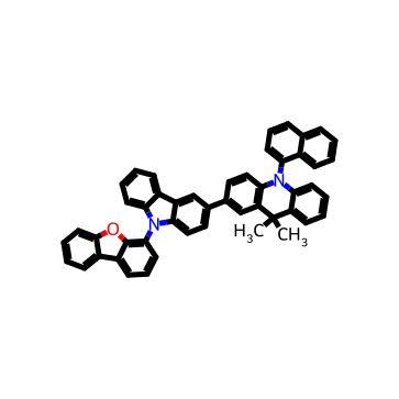 CC1(C)c2ccccc2N(c2cccc3ccccc23)c2ccc(-c3ccc4c(c3)c3ccccc3n4-c3cccc4c3oc3ccccc34)cc21